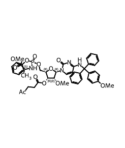 COC(=O)[C@H](C)NP(=O)(OC[C@H]1O[C@@H](n2ccc(NC(c3ccccc3)(c3ccccc3)c3ccc(OC)cc3)nc2=O)[C@H](OC)[C@@H]1OC(=O)CCC(C)=O)Oc1ccccc1